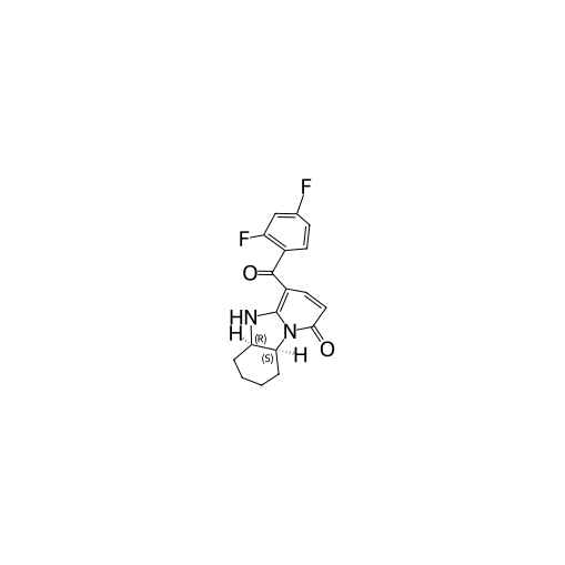 O=C(c1ccc(F)cc1F)c1ccc(=O)n2c1N[C@@H]1CCCC[C@@H]12